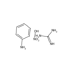 N=C(N)N.Nc1ccccc1.O=[N+]([O-])O